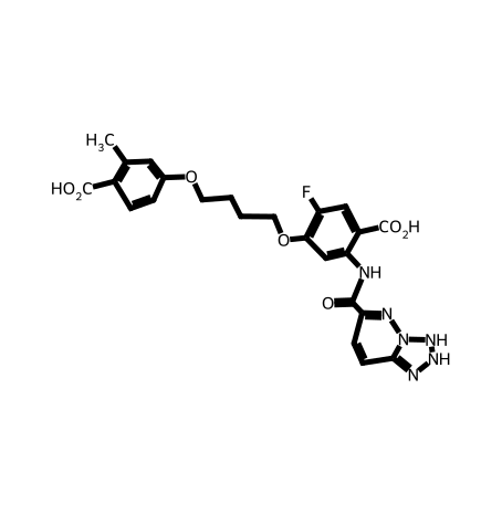 Cc1cc(OCCCCOc2cc(NC(=O)C3=NN4NNN=C4C=C3)c(C(=O)O)cc2F)ccc1C(=O)O